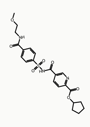 COCCNC(=O)c1ccc(S(=O)(=O)NC(=O)c2ccc(C(=O)OC3CCCC3)nc2)cc1